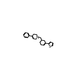 C1=C(c2ccccc2)CCN(CC2CCC=C(c3cccs3)C2)C1